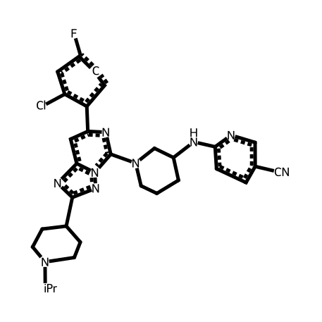 CC(C)N1CCC(c2nc3cc(-c4ccc(F)cc4Cl)nc(N4CCCC(Nc5ccc(C#N)cn5)C4)n3n2)CC1